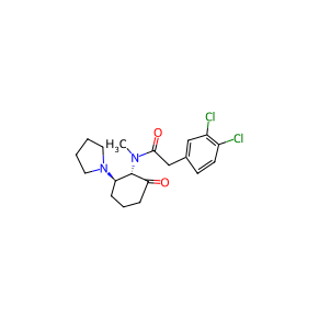 CN(C(=O)Cc1ccc(Cl)c(Cl)c1)[C@@H]1C(=O)CCC[C@H]1N1CCCC1